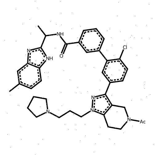 CC(=O)N1CCc2c(c(-c3ccc(Cl)c(-c4cccc(C(=O)NC(C)c5nc6cc(C)ccc6[nH]5)c4)c3)nn2CCCN2CCCC2)C1